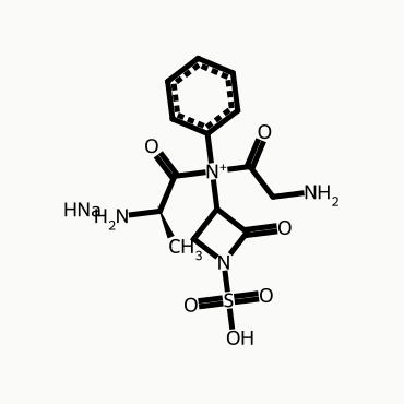 C[C@@H](N)C(=O)[N+](C(=O)CN)(c1ccccc1)C1CN(S(=O)(=O)O)C1=O.[NaH]